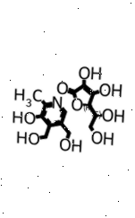 Cc1ncc(CO)c(CO)c1O.O=C1O[C@H]([C@@H](O)CO)C(O)=C1O